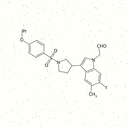 Cc1cc2c(C3CCN(S(=O)(=O)c4ccc(OC(C)C)cc4)C3)cn(CC=O)c2cc1I